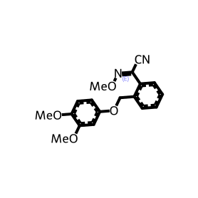 CO/N=C(/C#N)c1ccccc1COc1ccc(OC)c(OC)c1